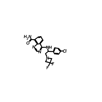 NC(=O)c1cccc2c(NC(CN3CC(F)(F)C3)c3ccc(Cl)cc3)ncnc12